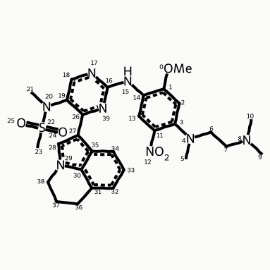 COc1cc(N(C)CCN(C)C)c([N+](=O)[O-])cc1Nc1ncc(N(C)S(C)(=O)=O)c(-c2cn3c4c(cccc24)CCC3)n1